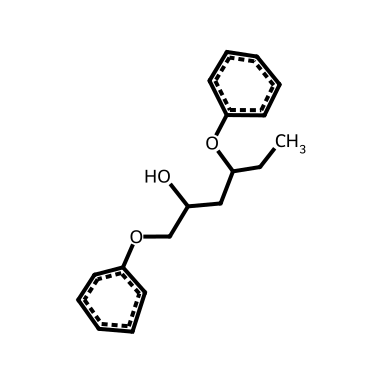 CCC(CC(O)COc1ccccc1)Oc1ccccc1